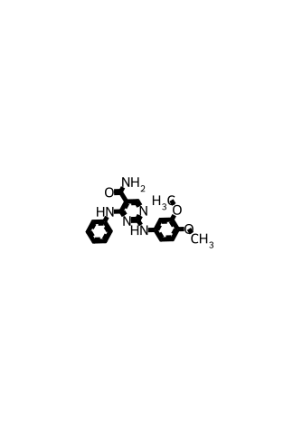 COc1ccc(Nc2ncc(C(N)=O)c(Nc3ccccc3)n2)cc1OC